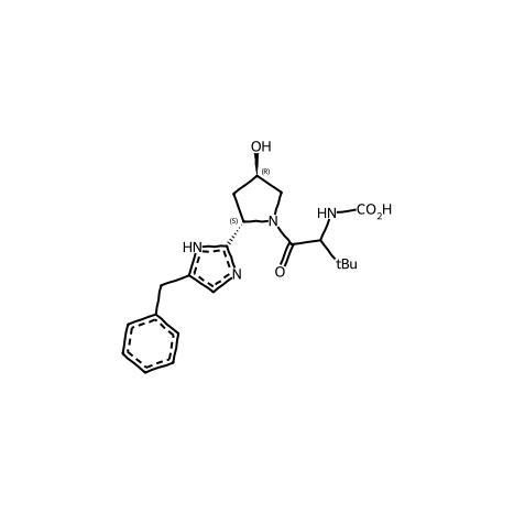 CC(C)(C)C(NC(=O)O)C(=O)N1C[C@H](O)C[C@H]1c1ncc(Cc2ccccc2)[nH]1